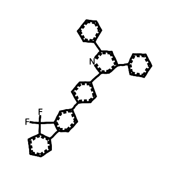 FC1(F)c2ccccc2-c2ccc(-c3ccc(-c4cc(-c5ccccc5)cc(-c5ccccc5)n4)cc3)cc21